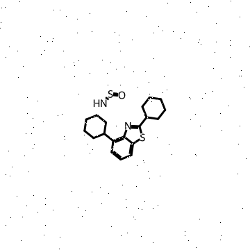 N=S=O.c1cc(C2CCCCC2)c2nc(C3CCCCC3)sc2c1